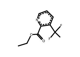 CCOC(=O)c1ncccc1C(C)(F)F